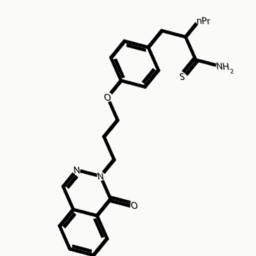 CCCC(Cc1ccc(OCCCn2ncc3ccccc3c2=O)cc1)C(N)=S